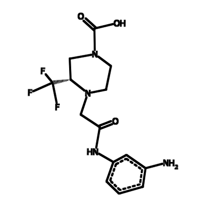 Nc1cccc(NC(=O)CN2CCN(C(=O)O)C[C@H]2C(F)(F)F)c1